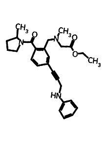 CCOC(=O)CN(C)Cc1cc(C#CCNc2ccccc2)ccc1C(=O)N1CCCC1C